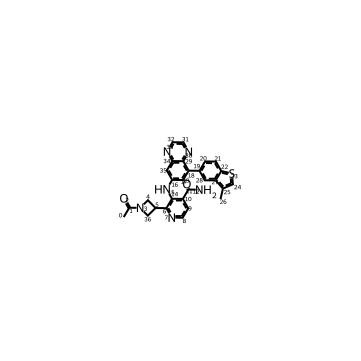 CC(=O)N1CC(c2nccc(C(N)=O)c2Nc2cc(-c3ccc4scc(C)c4c3)c3nccnc3c2)C1